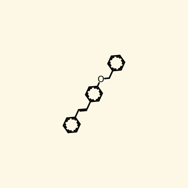 C(=Cc1ccc(OCc2ccccc2)cc1)c1ccccc1